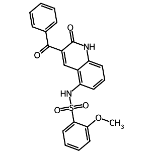 COc1ccccc1S(=O)(=O)Nc1cccc2[nH]c(=O)c(C(=O)c3ccccc3)cc12